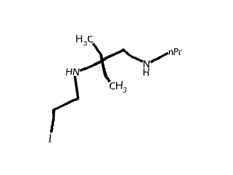 CCCNCC(C)(C)NCCI